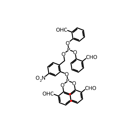 O=Cc1ccccc1OP(OCc1ccc([N+](=O)[O-])cc1OP(Oc1ccccc1C=O)Oc1ccccc1C=O)Oc1ccccc1C=O